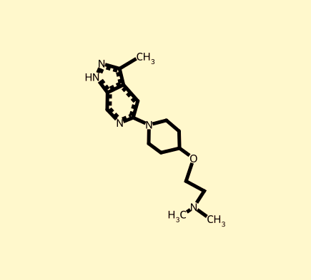 Cc1n[nH]c2cnc(N3CCC(OCCN(C)C)CC3)cc12